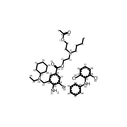 CCCCN(CCOC(C)=O)CCOC(=O)c1cc(Br)c(N)c(CN(CC)C2CCCCC2)c1.Clc1cccc(Cl)c1Nc1ccccc1